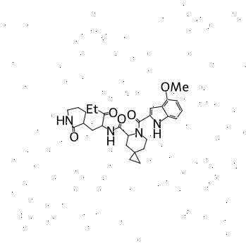 CCC(=O)C(CC1CCCNC1=O)NC(=O)C1CC2(CCN1C(=O)c1cc3c(OC)cccc3[nH]1)CC2